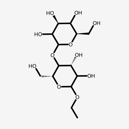 CCOC1O[C@H](CO)C(OC2O[C@H](CO)C(O)[C@H](O)C2O)[C@H](O)C1O